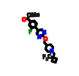 COC(=O)c1ccc(-c2cnc(OCC3CCN(CC4(C(F)(F)F)CCC4)CC3)nc2)c(F)c1